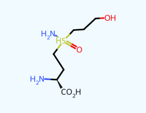 N[C@@H](CC[SH](N)(=O)CCCO)C(=O)O